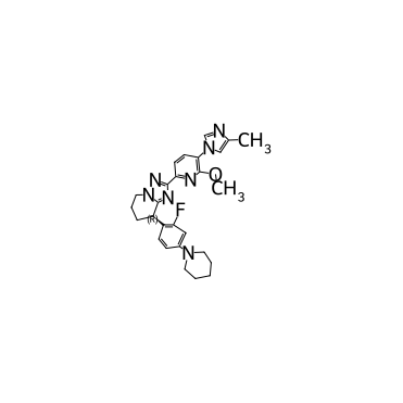 COc1nc(-c2nc3n(n2)CCC[C@@H]3c2ccc(N3CCCCC3)cc2F)ccc1-n1cnc(C)c1